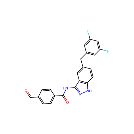 O=Cc1ccc(C(=O)Nc2n[nH]c3ccc(Cc4cc(F)cc(F)c4)cc23)cc1